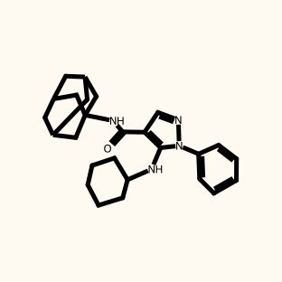 O=C(NC12CC3CC(CC(C3)C1)C2)c1cnn(-c2ccccc2)c1NC1CCCCC1